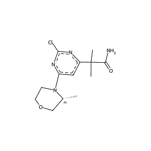 C[C@@H]1COCCN1c1cc(C(C)(C)C(N)=O)nc(Cl)n1